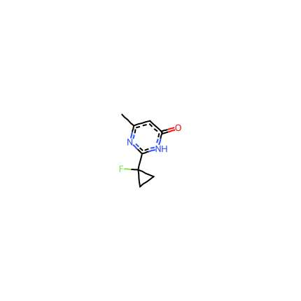 Cc1cc(=O)[nH]c(C2(F)CC2)n1